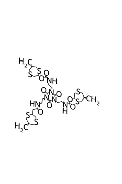 C=C1CSCC(CC(=O)NCCn2c(=O)n(CCNC(=O)OC3CSCC(=C)CS3)c(=O)n(CCNC(=O)OC3CSCC(=C)CS3)c2=O)SC1